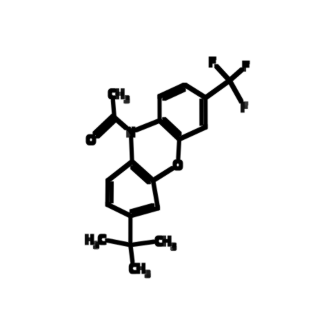 CC(=O)N1c2ccc(C(C)(C)C)cc2Oc2cc(C(F)(F)F)ccc21